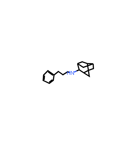 c1ccc(CCCNC2C3CC4CC5(CC25)C4C3)cc1